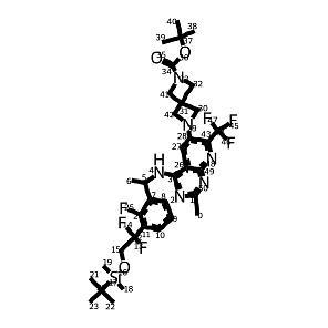 Cc1nc(NC(C)c2cccc(C(F)(F)CO[Si](C)(C)C(C)(C)C)c2F)c2cc(N3CC4(CN(C(=O)OC(C)(C)C)C4)C3)c(C(F)(F)F)nc2n1